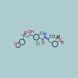 CP(=O)(CC(O)c1cc(Cl)c(C(=O)N[C@@H](Cc2cccc(S(C)(=O)=O)c2)C(=O)O)c(Cl)c1)c1ccc2ccoc2c1